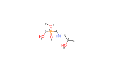 COP(=O)(CO)CNCC(C)O